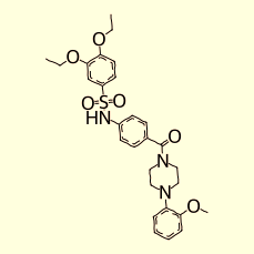 CCOc1ccc(S(=O)(=O)Nc2ccc(C(=O)N3CCN(c4ccccc4OC)CC3)cc2)cc1OCC